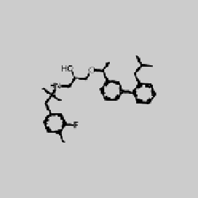 Cc1ccc(CC(C)(C)NC[C@@H](O)COC(C)c2cccc(-c3ccccc3CC(C)C)c2)cc1F